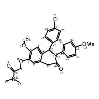 CCC(C)Oc1cc2c(cc1OCC(=O)N(C)C)CC(=O)N(c1ccc(OC)cc1)C2c1ccc(Cl)cc1